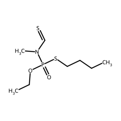 CCCCSP(=O)(OCC)N(C)C=S